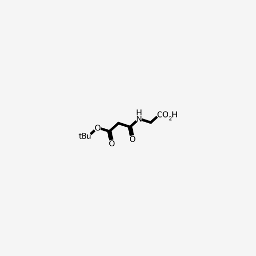 CC(C)(C)OC(=O)CC(=O)NCC(=O)O